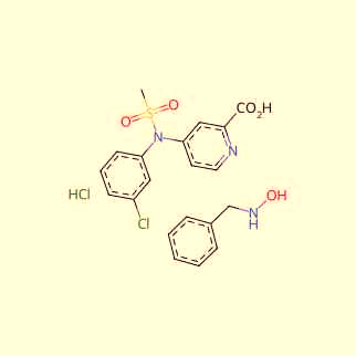 CS(=O)(=O)N(c1cccc(Cl)c1)c1ccnc(C(=O)O)c1.Cl.ONCc1ccccc1